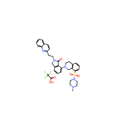 CN1CCN(S(=O)(=O)c2cccc3c2CN(c2cccc4c2C(=O)N(CCc2ccc5ccccc5n2)C4)CC3)CC1.O=C(O)C(F)(F)F